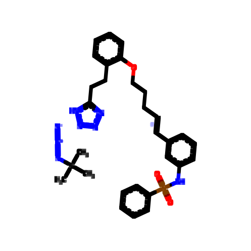 C[Si](C)(C)N=[N+]=[N-].O=S(=O)(Nc1cccc(/C=C/CCCOc2ccccc2CCc2nnn[nH]2)c1)c1ccccc1